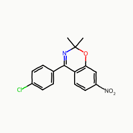 CC1(C)N=C(c2ccc(Cl)cc2)c2ccc([N+](=O)[O-])cc2O1